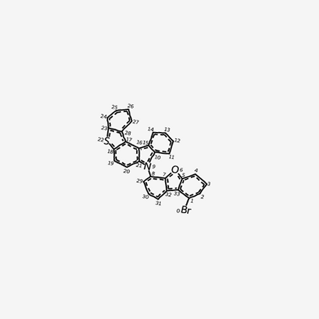 Brc1cccc2oc3c(-n4c5ccccc5c5c6c(ccc54)sc4ccccc46)cccc3c12